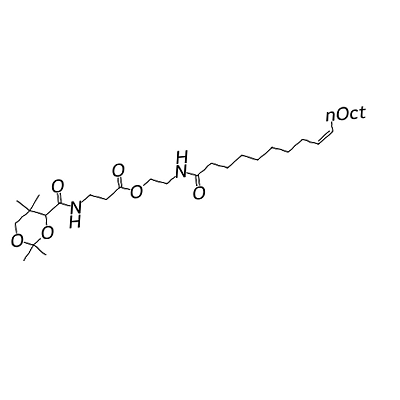 CCCCCCCC/C=C\CCCCCCCC(=O)NCCOC(=O)CCNC(=O)C1OC(C)(C)OCC1(C)C